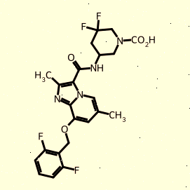 Cc1cc(OCc2c(F)cccc2F)c2nc(C)c(C(=O)NC3CN(C(=O)O)CC(F)(F)C3)n2c1